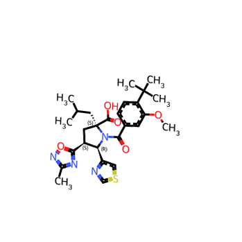 COc1cc(C(=O)N2[C@@H](c3cscn3)[C@@H](c3nc(C)no3)C[C@@]2(CC(C)C)C(=O)O)ccc1C(C)(C)C